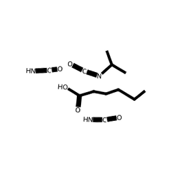 CC(C)N=C=O.CCCCCC(=O)O.N=C=O.N=C=O